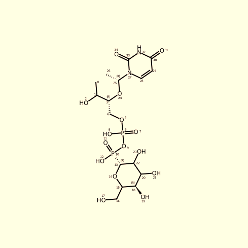 CC(O)[C@@H](COP(=O)(O)OP(=O)(O)[C@H]1OC(CO)[C@H](O)C(O)C1O)O[C@H](C)n1ccc(=O)[nH]c1=O